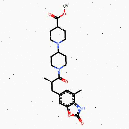 CCCOC(=O)C1CCN(C2CCN(C(=O)[C@H](C)Cc3cc(C)c4[nH]c(=O)oc4c3)CC2)CC1